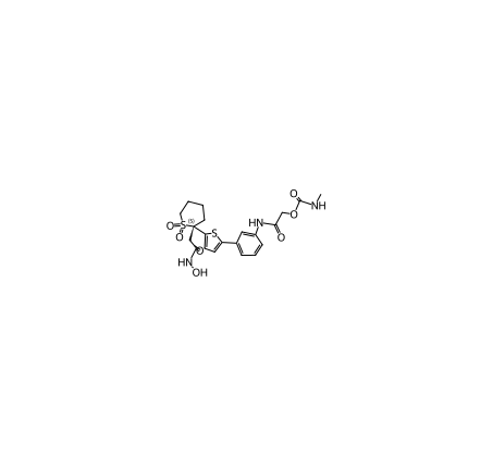 CNC(=O)OCC(=O)Nc1cccc(-c2ccc([C@@]3(CC(=O)NO)CCCCS3(=O)=O)s2)c1